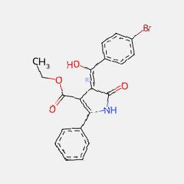 CCOC(=O)C1=C(c2ccccc2)NC(=O)/C1=C(/O)c1ccc(Br)cc1